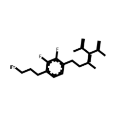 C=C(C)C(C(=C)C)=C(C)CCc1ccc(CCCC(C)C)c(F)c1F